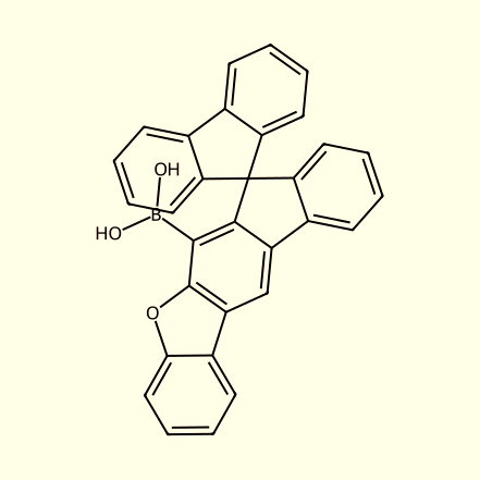 OB(O)c1c2c(cc3c1oc1ccccc13)-c1ccccc1C21c2ccccc2-c2ccccc21